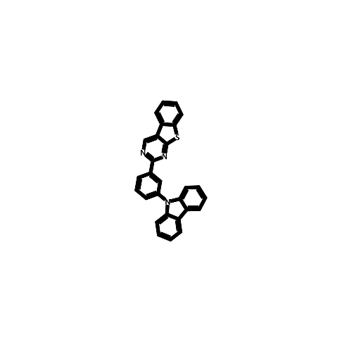 c1cc(-c2ncc3c(n2)sc2ccccc23)cc(-n2c3ccccc3c3ccccc32)c1